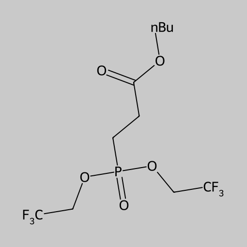 CCCCOC(=O)CCP(=O)(OCC(F)(F)F)OCC(F)(F)F